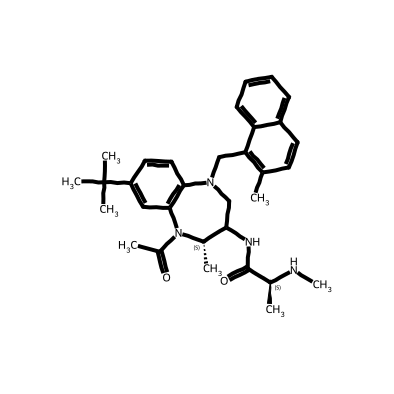 CN[C@@H](C)C(=O)NC1CN(Cc2c(C)ccc3ccccc23)c2ccc(C(C)(C)C)cc2N(C(C)=O)[C@H]1C